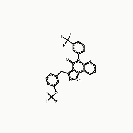 O=c1c2c(Cc3cccc(OC(F)(F)F)c3)n[nH]c2c2cccnc2n1-c1cccc(C(F)(F)F)c1